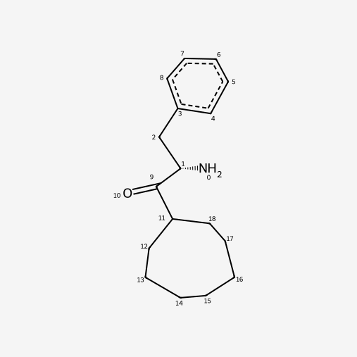 N[C@@H](Cc1ccccc1)C(=O)C1CCCCCCC1